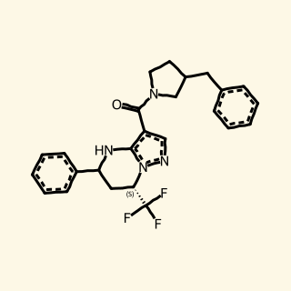 O=C(c1cnn2c1NC(c1ccccc1)C[C@H]2C(F)(F)F)N1CCC(Cc2ccccc2)C1